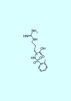 Cc1ccccc1S(=O)(=O)N[C@@H](CCCNC(=N)N)C(=O)O